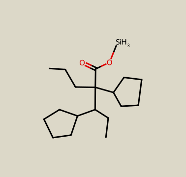 CCCC(C(=O)O[SiH3])(C1CCCC1)C(CC)C1CCCC1